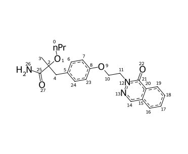 CCCOC(C)(Cc1ccc(OCCn2ncc3ccccc3c2=O)cc1)C(N)=O